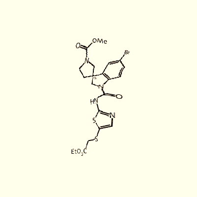 CCOC(=O)CSc1cnc(NC(=O)N2C[C@]3(CCN(C(=O)OC)C3)c3cc(Br)ccc32)s1